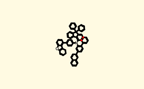 C1=Cc2oc3cccc(-c4ccc(N(c5cc(-c6ccc7ccccc7c6)ccc5-c5ccccc5)c5cccc6c5-c5ccccc5C6(c5ccccc5)c5ccccc5)cc4)c3c2CC1